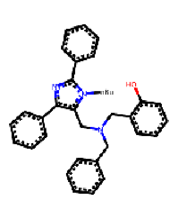 CCCCn1c(-c2ccccc2)nc(-c2ccccc2)c1CN(Cc1ccccc1)Cc1ccccc1O